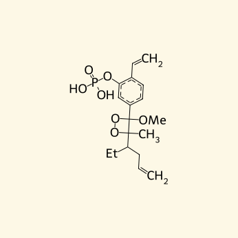 C=CCC(CC)C1(C)OOC1(OC)c1ccc(C=C)c(OP(=O)(O)O)c1